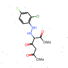 COC(=O)CC(=O)C(NNc1ccc(F)cc1Cl)C(=O)OC